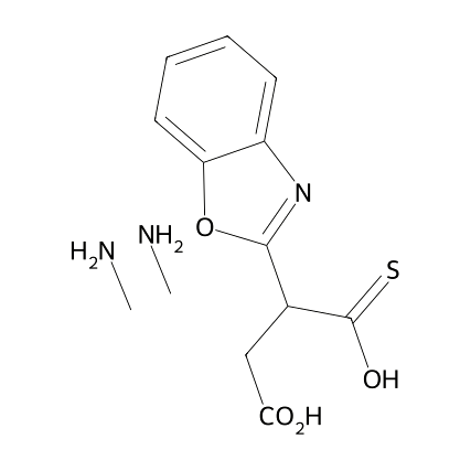 CN.CN.O=C(O)CC(C(O)=S)c1nc2ccccc2o1